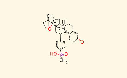 C=C1CCO[C@]12CC[C@@]1(C)[C@@H]3CCC4=CC(=O)CCC4=C3[C@@H](c3ccc(P(C)(=O)O)cc3)C[C@@]12C